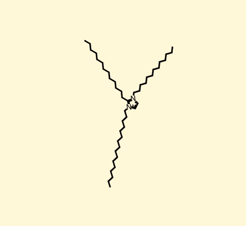 CCCCCCCCCCCCCCCC[n+]1ccn(CCCCCCCCCCCCC)c1CCCCCCCCCCCCC